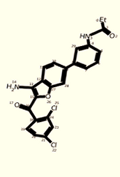 CCC(=O)Nc1cccc(-c2ccc3c(N)c(C(=O)c4ccc(Cl)cc4Cl)oc3c2)c1